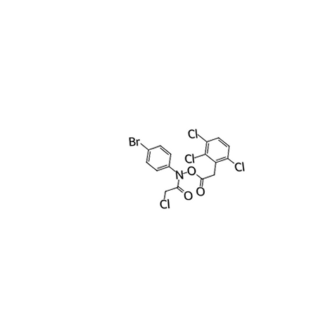 O=C(Cc1c(Cl)ccc(Cl)c1Cl)ON(C(=O)CCl)c1ccc(Br)cc1